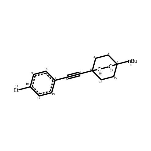 CCCCC12CCC(C#Cc3ccc(CC)cc3)(CC1)CC2